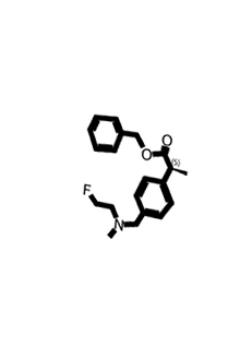 C[C@H](C(=O)OCc1ccccc1)c1ccc(CN(C)CCF)cc1